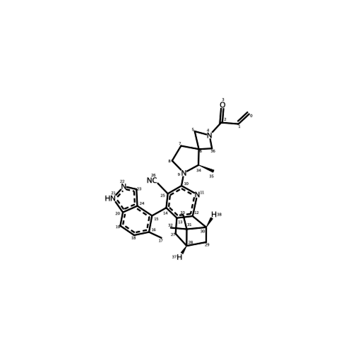 C=CC(=O)N1CC2(CCN(c3nc4c(c(-c5c(C)ccc6[nH]ncc56)c3C#N)C[C@H]3C[C@@H]4C3(C)C)[C@@H]2C)C1